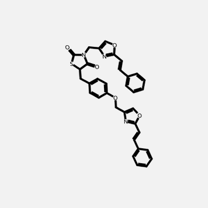 O=C1SC(Cc2ccc(OCc3coc(C=Cc4ccccc4)n3)cc2)C(=O)N1Cc1coc(C=Cc2ccccc2)n1